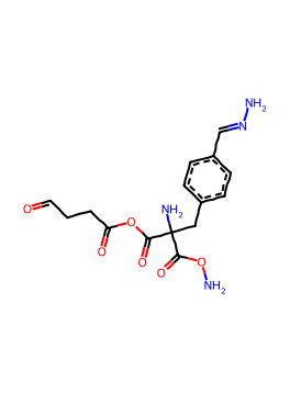 NN=Cc1ccc(CC(N)(C(=O)ON)C(=O)OC(=O)CCC=O)cc1